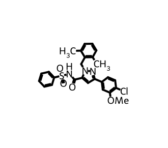 COc1cc(-c2cc(C(=O)NS(=O)(=O)c3ccccc3)n(Cc3c(C)cccc3C)n2)ccc1Cl